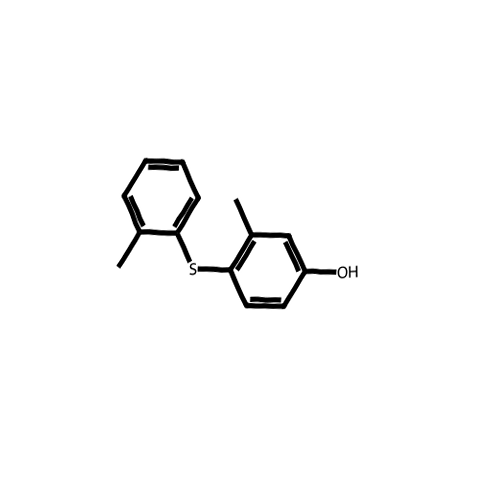 Cc1ccccc1Sc1ccc(O)cc1C